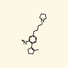 C=Nc1cc(CCCCN2CCCC2)ccc1C1=C(C)CCC1